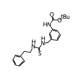 CC(C)(C)OC(=O)Nc1cccc(CNC(=S)NCCc2ccccc2)c1